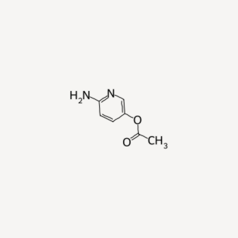 CC(=O)Oc1ccc(N)nc1